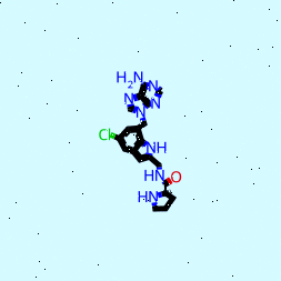 Nc1ncnc2c1ncn2Cc1cc(Cl)cc2cc(CNC(=O)[C@H]3CCCN3)[nH]c12